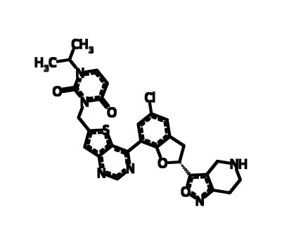 CC(C)n1ccc(=O)n(Cc2cc3ncnc(-c4cc(Cl)cc5c4O[C@@H](c4onc6c4CNCC6)C5)c3s2)c1=O